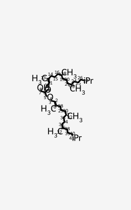 C/C(=C\COCC(CO)OC/C=C(\C)CCC[C@H](C)CCC[C@H](C)CCCC(C)C)CCC[C@H](C)CCC[C@H](C)CCCC(C)C